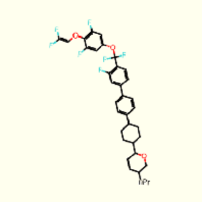 CCCC1CCC(C2CCC(c3ccc(-c4ccc(C(F)(F)Oc5cc(F)c(OC=C(F)F)c(F)c5)c(F)c4)cc3)CC2)OC1